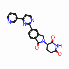 O=C1CCC(N2Cc3cc(-c4nccc(-c5cccnc5)n4)ccc3C2=O)C(=O)N1